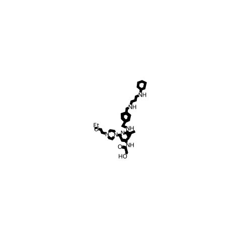 CCOCCN1CCN(C2=NC3(NCc4ccc(CNCCCNC5CCCCC5)cc4)C(C)C3C(NC(=O)CO)=C2)CC1